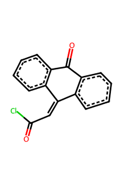 O=C(Cl)C=C1c2ccccc2C(=O)c2ccccc21